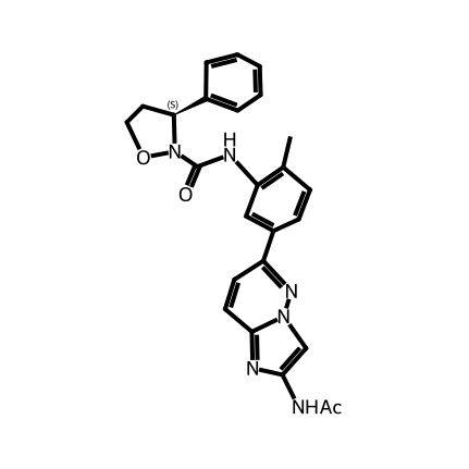 CC(=O)Nc1cn2nc(-c3ccc(C)c(NC(=O)N4OCC[C@H]4c4ccccc4)c3)ccc2n1